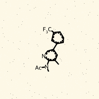 CC(=O)N(C)c1ncc(-c2cccc(C(F)(F)F)c2)cc1C